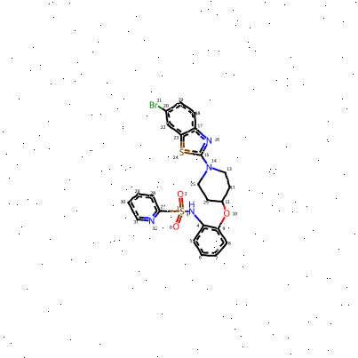 O=S(=O)(Nc1ccccc1OC1CCN(c2nc3ccc(Br)cc3s2)CC1)c1ccccn1